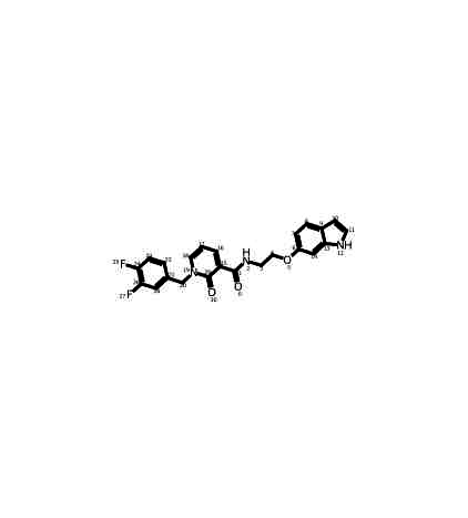 O=C(NCCOc1ccc2cc[nH]c2c1)c1cccn(Cc2ccc(F)c(F)c2)c1=O